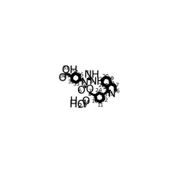 Cl.N=C(N)N(C(=O)OCc1cccc(-c2nccc3ccccc23)c1)c1ccc(C(=O)O)cc1.O